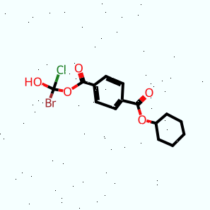 O=C(OC1CCCCC1)c1ccc(C(=O)OC(O)(Cl)Br)cc1